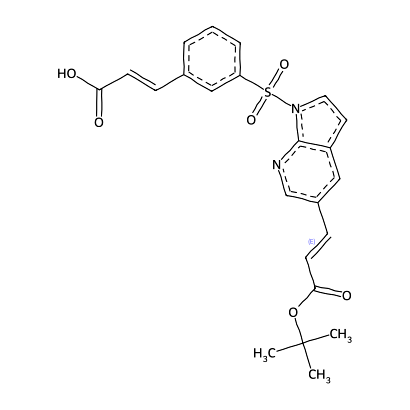 CC(C)(C)OC(=O)/C=C/c1cnc2c(ccn2S(=O)(=O)c2cccc(C=CC(=O)O)c2)c1